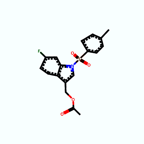 CC(=O)OCc1cn(S(=O)(=O)c2ccc(C)cc2)c2cc(F)ccc12